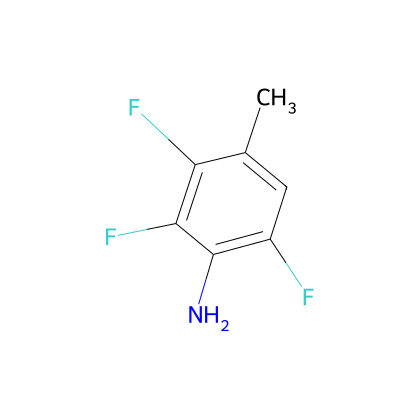 Cc1cc(F)c(N)c(F)c1F